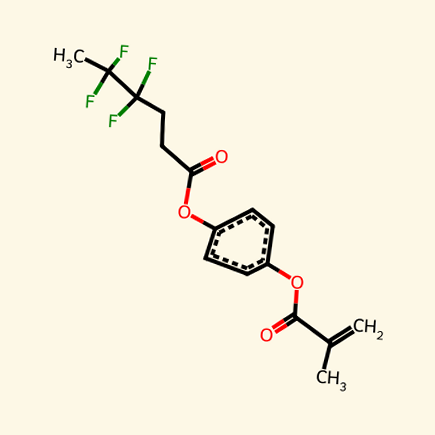 C=C(C)C(=O)Oc1ccc(OC(=O)CCC(F)(F)C(C)(F)F)cc1